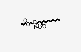 C=CC(=O)OCCOC(=O)CC(/C=C/CCCCCC)C(=O)O